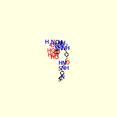 CC(C(N)=O)N1CN([C@@H]2O[C@H](CO)C(O)C2O)c2nc(NCCc3ccc(CCC(=O)NCCNC(=S)c4ccc(N=C=S)cc4)cc3)nc(N)c21